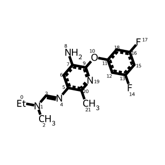 CCN(C)/C=N/c1cc(N)c(Oc2cc(F)cc(F)c2)nc1C